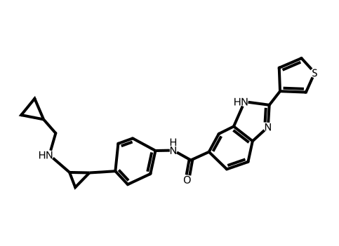 O=C(Nc1ccc(C2CC2NCC2CC2)cc1)c1ccc2nc(-c3ccsc3)[nH]c2c1